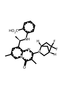 Cc1cc([C@@H](C)Nc2ccccc2C(=O)O)c2nc(N3C[C@@H]4C[C@H]3CC4(F)F)c(C)c(=O)n2c1